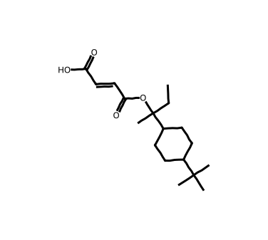 CCC(C)(OC(=O)/C=C/C(=O)O)C1CCC(C(C)(C)C)CC1